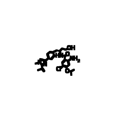 C=C(C)c1nc(-c2ccc(C[C@@H](CCO)NC(=O)c3cc(Cl)c(OC(C)C)cc3N)cc2)cn1C